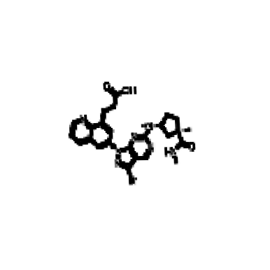 CNC(=O)[C@]1(C)CC[C@@H](Nc2ncc3c(Br)nn(-c4cc(CCC(=O)O)c5ncccc5c4)c3n2)C1